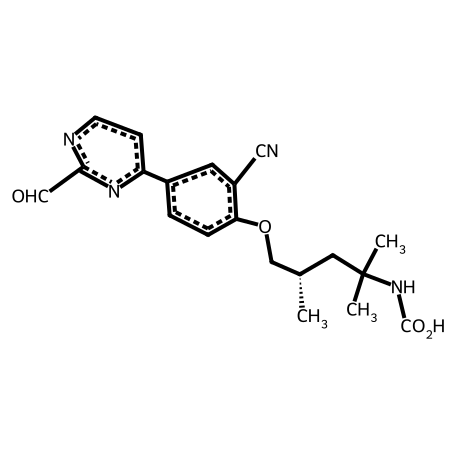 C[C@H](COc1ccc(-c2ccnc(C=O)n2)cc1C#N)CC(C)(C)NC(=O)O